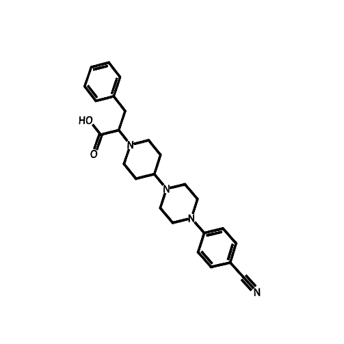 N#Cc1ccc(N2CCN(C3CCN(C(Cc4ccccc4)C(=O)O)CC3)CC2)cc1